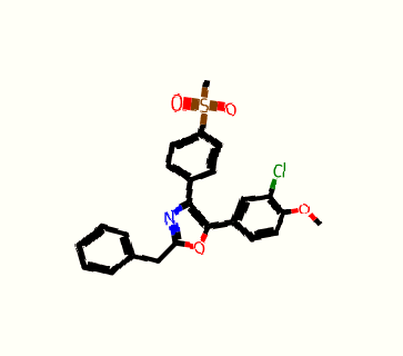 COc1ccc(-c2oc(Cc3ccccc3)nc2-c2ccc(S(C)(=O)=O)cc2)cc1Cl